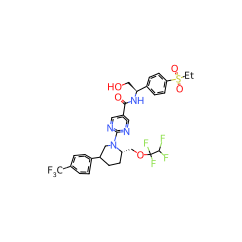 CCS(=O)(=O)c1ccc([C@H](CO)NC(=O)c2cnc(N3CC(c4ccc(C(F)(F)F)cc4)CC[C@H]3COC(F)(F)C(F)F)nc2)cc1